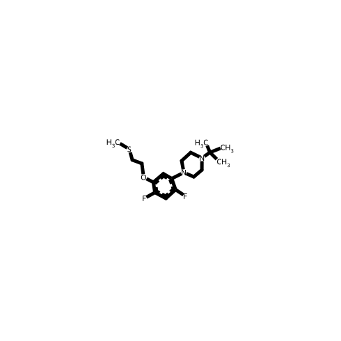 CSCCOc1cc(N2CCN(C(C)(C)C)CC2)c(F)cc1F